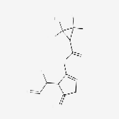 C=CC(C)C1C(=C)CC=C1OC(=O)C1C(C)(C)C1(C)C